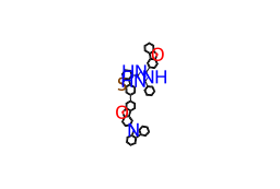 c1ccc(C2NC(c3ccc4oc5ccccc5c4c3)NC(c3cccc4sc5cc(-c6ccc7c(c6)oc6ccc(-n8c9ccccc9c9ccccc98)cc67)ccc5c34)N2)cc1